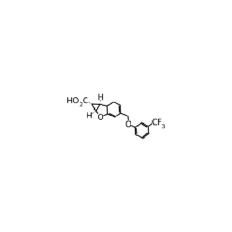 O=C(O)[C@H]1[C@@H]2OC3=CC(COc4cccc(C(F)(F)F)c4)=CCC3[C@@H]21